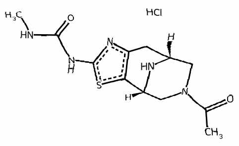 CNC(=O)Nc1nc2c(s1)[C@H]1CN(C(C)=O)C[C@@H](C2)N1.Cl